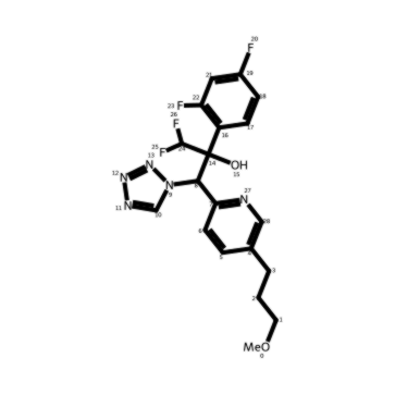 COCCCc1ccc(C(n2cnnn2)C(O)(c2ccc(F)cc2F)C(F)F)nc1